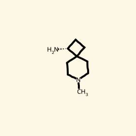 CN1CCC2(CC[C@H]2N)CC1